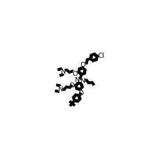 CCCCn1c(-c2ccc(OCCc3ccc(Cl)cc3)cc2OCCCN(CC)CC)nc2c(OCCCN(CC)CC)cc(Oc3ccc(C(C)(C)C)cc3)cc21